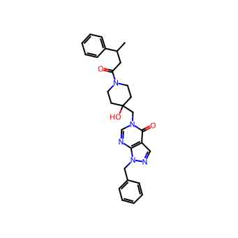 CC(CC(=O)N1CCC(O)(Cn2cnc3c(cnn3Cc3ccccc3)c2=O)CC1)c1ccccc1